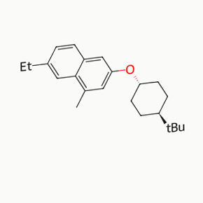 CCc1ccc2cc(O[C@H]3CC[C@H](C(C)(C)C)CC3)cc(C)c2c1